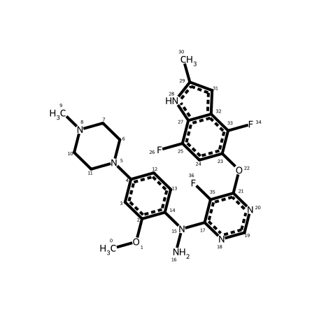 COc1cc(N2CCN(C)CC2)ccc1N(N)c1ncnc(Oc2cc(F)c3[nH]c(C)cc3c2F)c1F